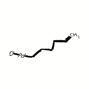 C=CCCC=[CH][Pd][Cl]